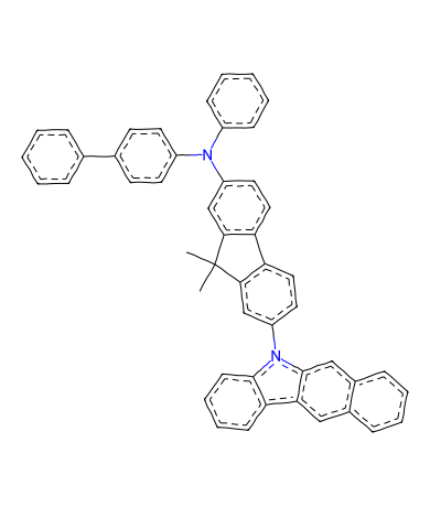 CC1(C)c2cc(N(c3ccccc3)c3ccc(-c4ccccc4)cc3)ccc2-c2ccc(-n3c4ccccc4c4cc5ccccc5cc43)cc21